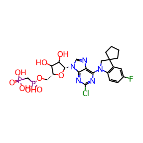 O=P(O)(O)CP(=O)(O)OC[C@H]1O[C@@H](n2cnc3c(N4CC5(CCCC5)c5cc(F)ccc54)nc(Cl)nc32)C(O)C1O